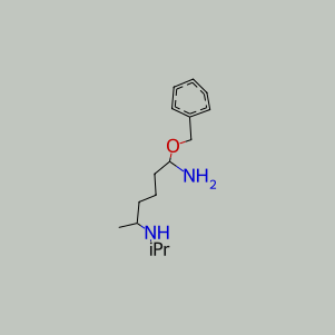 CC(C)NC(C)CCCC(N)OCc1ccccc1